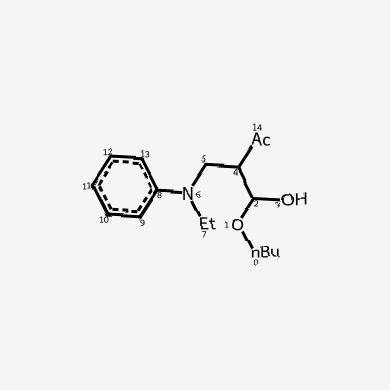 CCCCOC(O)C(CN(CC)c1ccccc1)C(C)=O